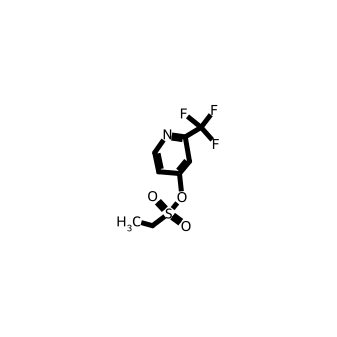 CCS(=O)(=O)Oc1ccnc(C(F)(F)F)c1